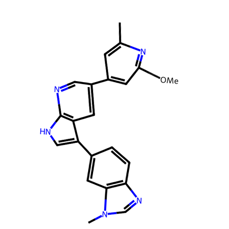 COc1cc(-c2cnc3[nH]cc(-c4ccc5ncn(C)c5c4)c3c2)cc(C)n1